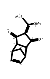 CSC(SC)=C1C(=O)C2C3C=CC(C3)C2C1=O